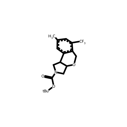 Cc1cc2c(c(C(F)(F)F)c1)COC1CN(C(=O)OC(C)(C)C)CC21